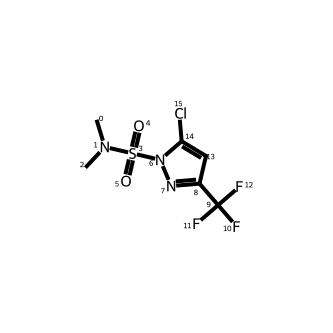 CN(C)S(=O)(=O)n1nc(C(F)(F)F)cc1Cl